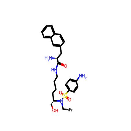 CC(C)CN([C@H](CO)CCCCNC(=O)[C@@H](N)Cc1ccc2ccccc2c1)S(=O)(=O)c1ccc(N)cc1